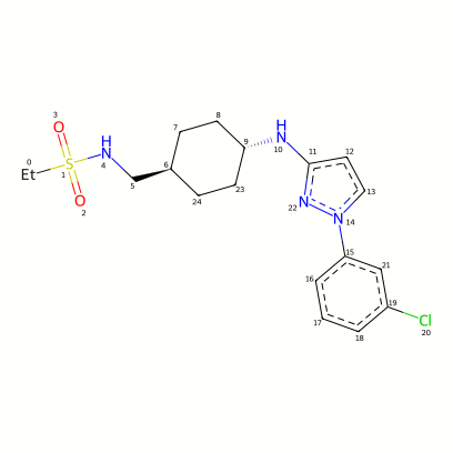 CCS(=O)(=O)NC[C@H]1CC[C@H](Nc2ccn(-c3cccc(Cl)c3)n2)CC1